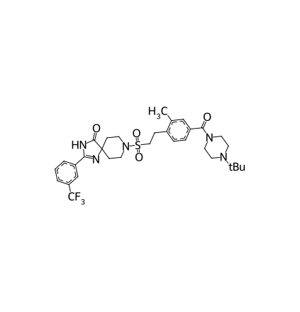 Cc1cc(C(=O)N2CCN(C(C)(C)C)CC2)ccc1CCS(=O)(=O)N1CCC2(CC1)N=C(c1cccc(C(F)(F)F)c1)NC2=O